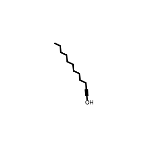 CCCCCCCCCCC#CO